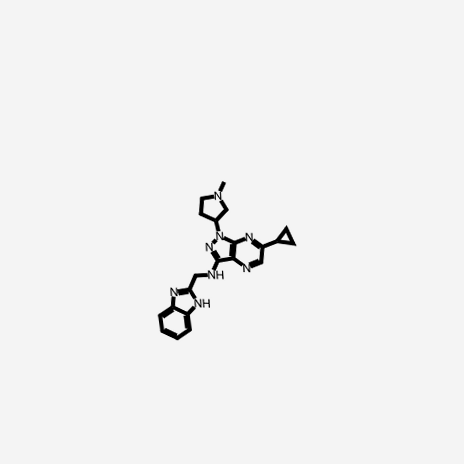 CN1CCC(n2nc(NCc3nc4ccccc4[nH]3)c3ncc(C4CC4)nc32)C1